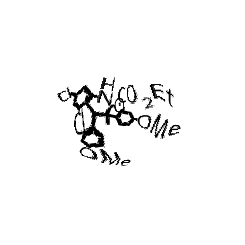 CCOC(=O)OC1Nc2cc(Cl)cc(Cl)c2C(c2ccc(OC)cc2)C1(C)c1ccc(OC)cc1